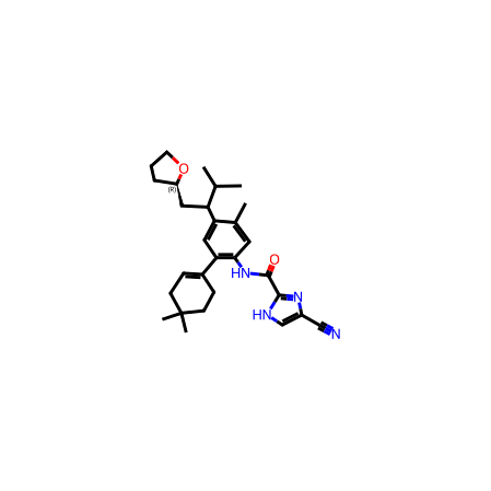 Cc1cc(NC(=O)c2nc(C#N)c[nH]2)c(C2=CCC(C)(C)CC2)cc1C(C[C@H]1CCCO1)C(C)C